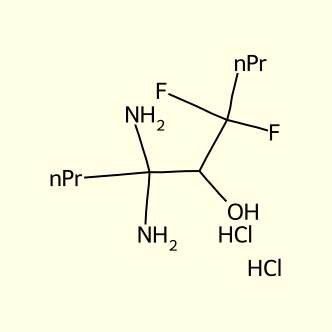 CCCC(N)(N)C(O)C(F)(F)CCC.Cl.Cl